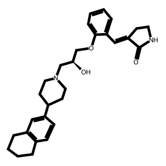 O=C1NCCC1=Cc1ccccc1OC[C@@H](O)CN1CCC(c2ccc3c(c2)CCCC3)CC1